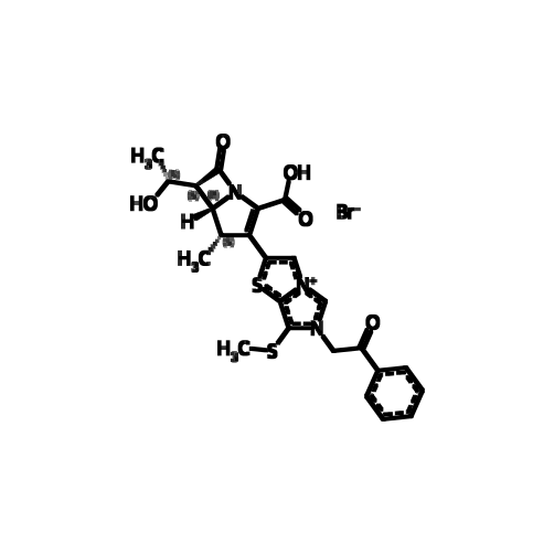 CSc1c2sc(C3=C(C(=O)O)N4C(=O)[C@H]([C@@H](C)O)[C@H]4[C@H]3C)c[n+]2cn1CC(=O)c1ccccc1.[Br-]